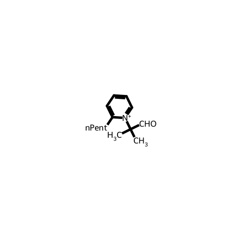 CCCCCc1cccc[n+]1C(C)(C)C=O